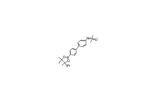 CC(C)C1(C)OB(c2ccc(-c3ccc(N=S(C)(C)=O)cc3)cc2)OC1(C)C